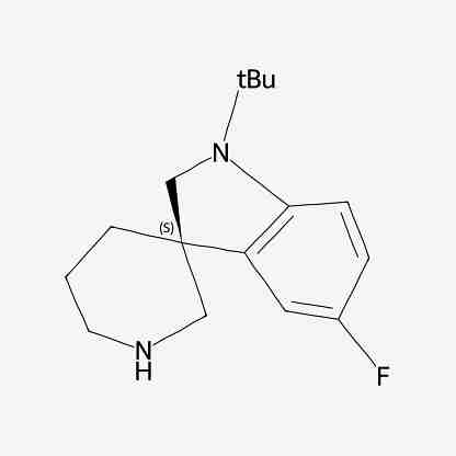 CC(C)(C)N1C[C@@]2(CCCNC2)c2cc(F)ccc21